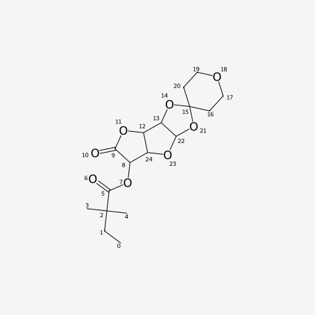 CCC(C)(C)C(=O)OC1C(=O)OC2C3OC4(CCOCC4)OC3OC12